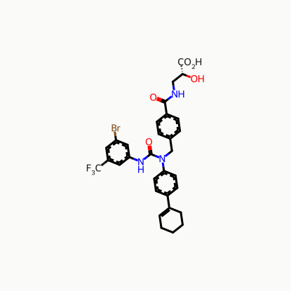 O=C(NC[C@@H](O)C(=O)O)c1ccc(CN(C(=O)Nc2cc(Br)cc(C(F)(F)F)c2)c2ccc(C3=CCCCC3)cc2)cc1